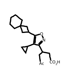 CC(=O)CC(CC(=O)O)c1noc(C2CC3(CCCCC3)C2)c1C1CC1